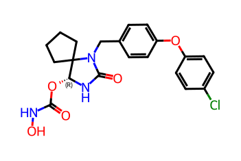 O=C(NO)O[C@H]1NC(=O)N(Cc2ccc(Oc3ccc(Cl)cc3)cc2)C12CCCC2